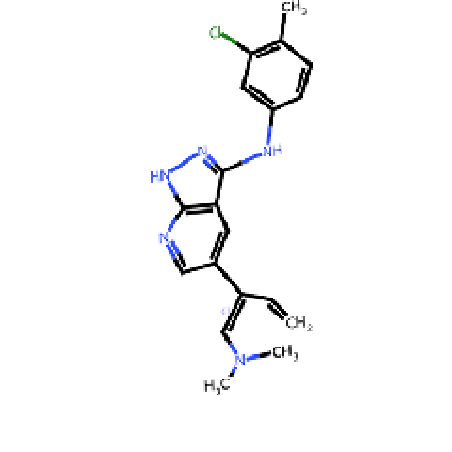 C=C/C(=C\N(C)C)c1cnc2[nH]nc(Nc3ccc(C)c(Cl)c3)c2c1